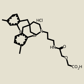 Cc1ccc(CC2(Cc3ccc(C)cc3Br)CCN(CCCNC(=O)COCC(=O)O)CC2)c(Br)c1.Cl